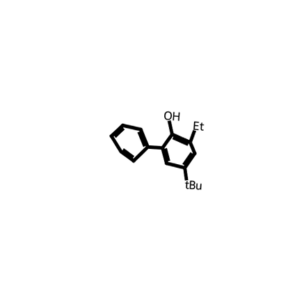 CCc1cc(C(C)(C)C)cc(-c2ccccc2)c1O